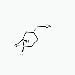 OC[C@@H]1CC[C@@H]2O[C@@H]2C1